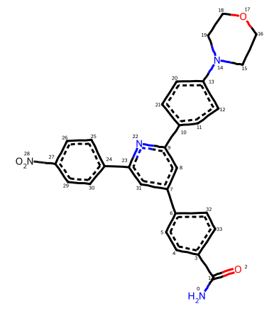 NC(=O)c1ccc(-c2cc(-c3ccc(N4CCOCC4)cc3)nc(-c3ccc([N+](=O)[O-])cc3)c2)cc1